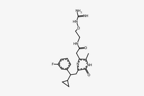 Cc1[nH]c(=O)c(CC(c2cccc(F)c2)C2CC2)nc1CC(=O)NCCONC(=N)N